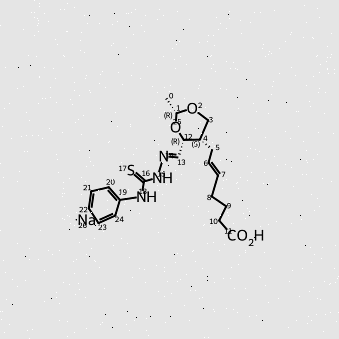 C[C@@H]1OC[C@H](CC=CCCCC(=O)O)[C@H](C=NNC(=S)Nc2ccccc2)O1.[Na]